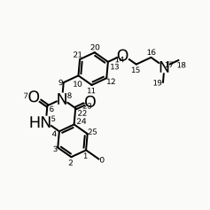 Cc1ccc2[nH]c(=O)n(Cc3ccc(OCCN(C)C)cc3)c(=O)c2c1